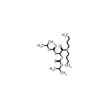 CCCCN(CCCC)C(=O)C(SC(=S)OC(C)C)SC(=S)OC(C)C